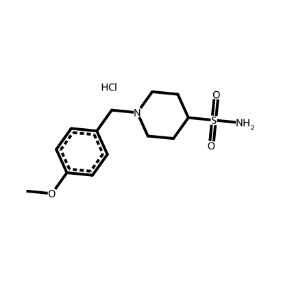 COc1ccc(CN2CCC(S(N)(=O)=O)CC2)cc1.Cl